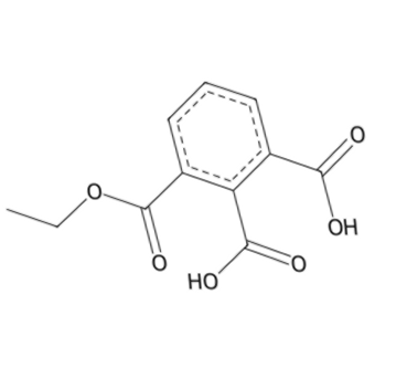 CCOC(=O)c1cccc(C(=O)O)c1C(=O)O